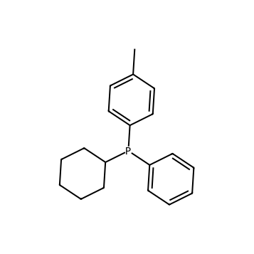 Cc1ccc(P(c2ccccc2)C2CCCCC2)cc1